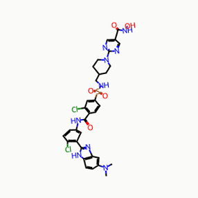 CN(C)c1ccc2[nH]c(-c3cc(NC(=O)c4ccc(S(=O)(=O)NCC5CCN(c6ncc(C(=O)NO)cn6)CC5)cc4Cl)ccc3Cl)nc2c1